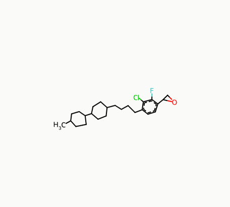 CC1CCC(C2CCC(CCCCc3ccc(C4CO4)c(F)c3Cl)CC2)CC1